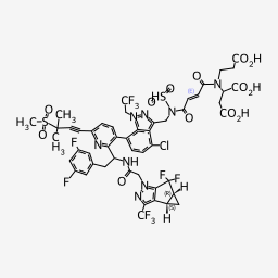 CC(C)(C#Cc1ccc(-c2ccc(Cl)c3c(CN(C(=O)/C=C/C(=O)N(CCC(=O)O)C(CC(=O)O)C(=O)O)[SH](=O)=O)nn(CC(F)(F)F)c23)c(C(Cc2cc(F)cc(F)c2)NC(=O)Cn2nc(C(F)(F)F)c3c2C(F)(F)[C@@H]2C[C@H]32)n1)S(C)(=O)=O